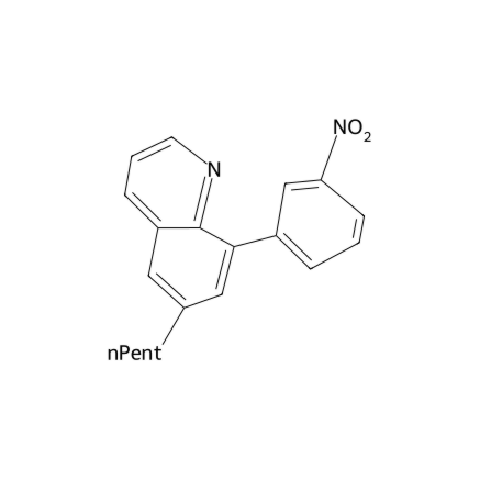 CCCCCc1cc(-c2cccc([N+](=O)[O-])c2)c2ncccc2c1